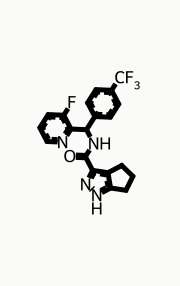 O=C(NC(c1ccc(C(F)(F)F)cc1)c1ncccc1F)c1n[nH]c2c1CCC2